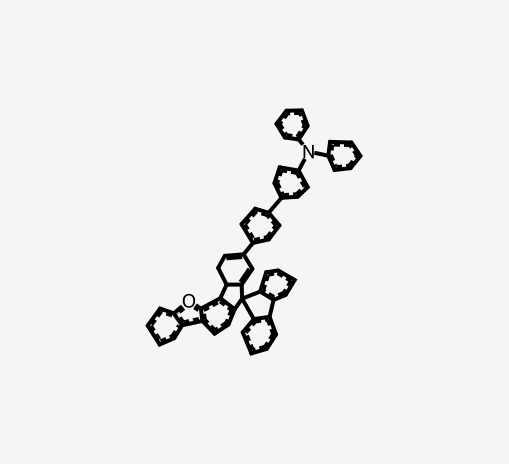 C1=C(c2ccc(-c3ccc(N(c4ccccc4)c4ccccc4)cc3)cc2)C=C2C(C1)c1c(ccc3c1oc1ccccc13)C21c2ccccc2-c2ccccc21